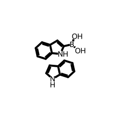 OB(O)c1cc2ccccc2[nH]1.c1ccc2[nH]ccc2c1